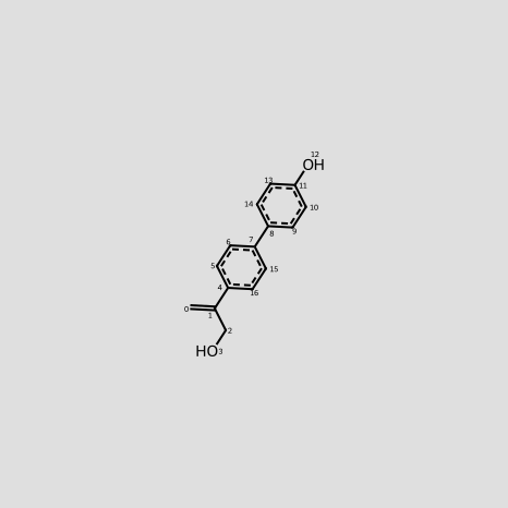 C=C(CO)c1ccc(-c2ccc(O)cc2)cc1